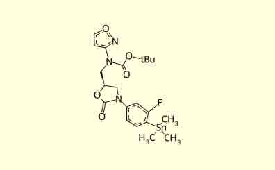 CC(C)(C)OC(=O)N(C[C@H]1CN(c2cc[c]([Sn]([CH3])([CH3])[CH3])c(F)c2)C(=O)O1)c1ccon1